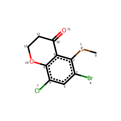 CSc1c(Br)cc(Cl)c2c1C(=O)CCO2